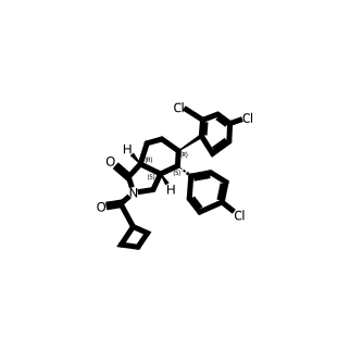 O=C(C1CCC1)N1C[C@H]2[C@@H](c3ccc(Cl)cc3)[C@H](c3ccc(Cl)cc3Cl)CC[C@H]2C1=O